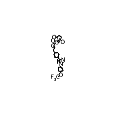 O=C(OCCc1ccc(-c2ncn(-c3ccc(OC(F)(F)F)cc3)n2)cc1)ON1C(=O)CCC1=O